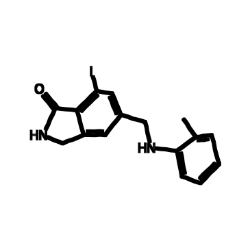 Cc1ccccc1NCc1cc(I)c2c(c1)CNC2=O